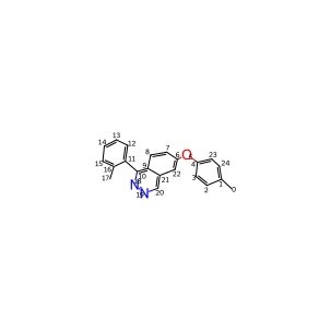 Cc1ccc(Oc2ccc3c(-c4ccccc4C)nncc3c2)cc1